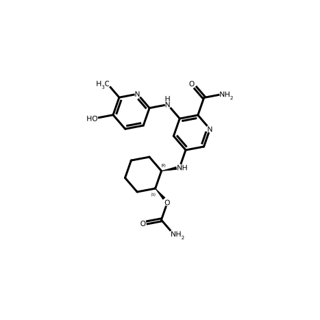 Cc1nc(Nc2cc(N[C@@H]3CCCC[C@@H]3OC(N)=O)cnc2C(N)=O)ccc1O